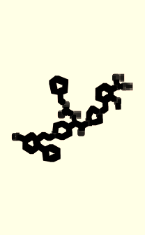 COc1c(CN2CCN(C(=O)[C@H](NC(=O)OCc3ccccc3)C3CCN(CCc4cc(Cl)ccc4-c4ccccc4)CC3)CC2)cccc1B(O)O